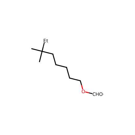 CCC(C)(C)CCCCCO[C]=O